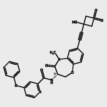 CN1C(=O)[C@@H](NC(=O)c2cc(Oc3ccccc3)ccn2)COc2ccc(C#CC3(O)CS(=O)(=O)C3)cc21